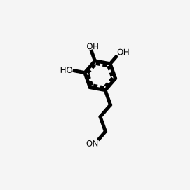 O=NCCCc1cc(O)c(O)c(O)c1